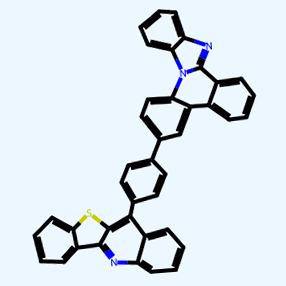 c1ccc2c(-c3ccc(-c4ccc5c(c4)c4ccccc4c4nc6ccccc6n54)cc3)c3sc4ccccc4c3nc2c1